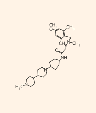 COc1cc(C)c(SN(C)CCC(=O)NC2CCC(N3CCC(C4CCN(C)CC4)CC3)CC2)c(C)c1